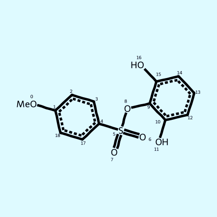 COc1ccc(S(=O)(=O)Oc2c(O)cccc2O)cc1